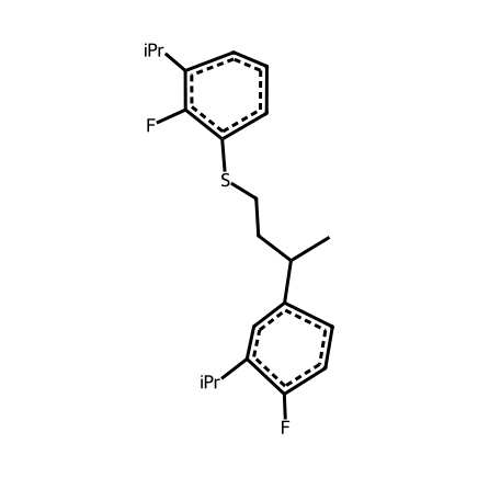 CC(C)c1cc(C(C)CCSc2cccc(C(C)C)c2F)ccc1F